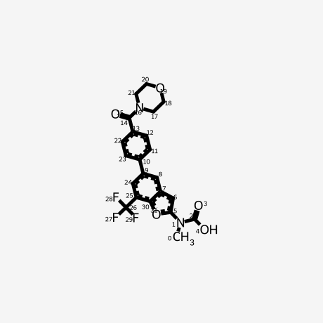 CN(C(=O)O)c1cc2cc(-c3ccc(C(=O)N4CCOCC4)cc3)cc(C(F)(F)F)c2o1